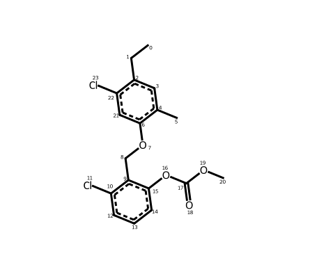 CCc1cc(C)c(OCc2c(Cl)cccc2OC(=O)OC)cc1Cl